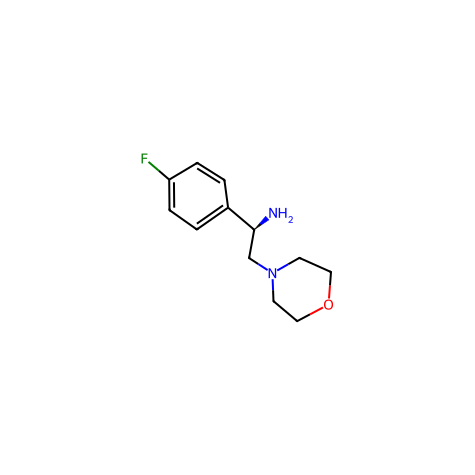 N[C@@H](CN1CCOCC1)c1ccc(F)cc1